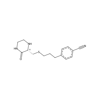 N#Cc1ccc(CCCSC[C@H]2NCCNC2=O)cc1